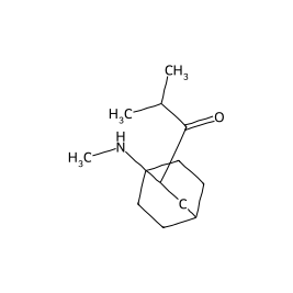 CNC12CCC(CC1)CC2C(=O)C(C)C